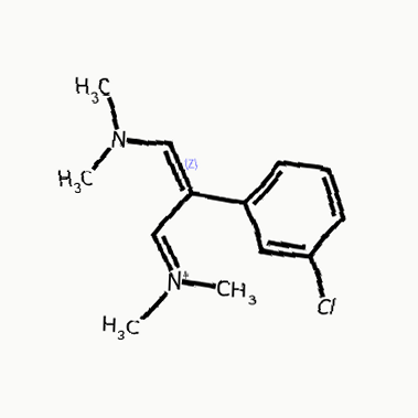 CN(C)/C=C(\C=[N+](C)C)c1cccc(Cl)c1